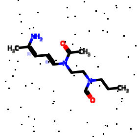 CCCN(C=O)CCN(/C=C/C=C(/C)N)C(C)=O